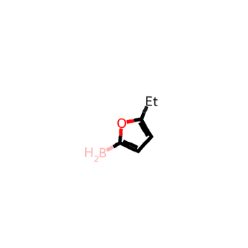 Bc1ccc(CC)o1